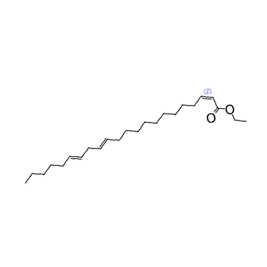 CCCCCC=CCC=CCCCCCCCCC/C=C\C(=O)OCC